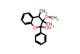 COC1(C)C(C)c2ccccc2OC1(O)c1ccccc1